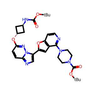 CC(C)(C)OC(=O)N[C@H]1C[C@H](Oc2ccc3ncc(-c4cc5c(N6CCN(C(=O)OC(C)(C)C)CC6)nccc5o4)n3n2)C1